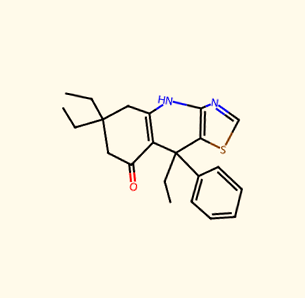 CCC1(CC)CC(=O)C2=C(C1)Nc1ncsc1C2(CC)c1ccccc1